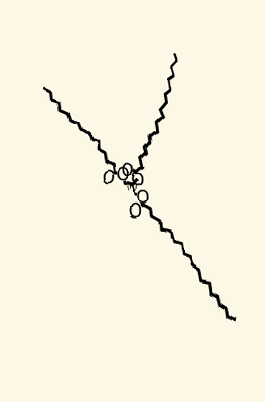 CCCCCCCCCCCCCCCCCCCC(=O)OC[C@@H](COC(=O)CCCCCCCCCCCCCCCC)OC(=O)CCCCCCCCCCCCCCCCCC